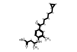 CCCCC(=O)C[C@H](C)Nc1ccc(C(=O)CCCCCC2CC2)cc1C